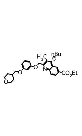 CCCCOc1c(C)c(COc2cccc(OCC3CCOCC3)c2)nc2ccc(C(=O)OCC)cc12